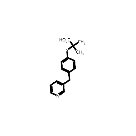 CC(C)(Sc1ccc(Cc2cccnc2)cc1)C(=O)O